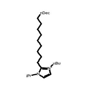 CCCCCCCCCCCCCCCCCCCc1n(C(C)C)cc[n+]1CCCC